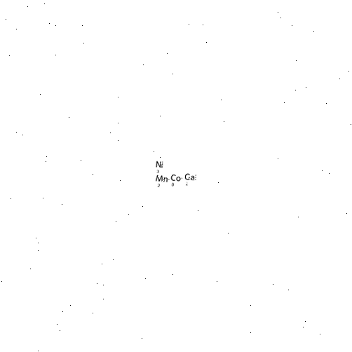 [Co].[Ga].[Mn].[Ni]